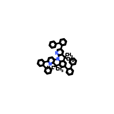 CC1(C)c2cc(-c3ccccc3-c3ccccc3)cnc2N2c3ccc(-c4ccccc4-c4ccccc4)nc3C(C)(C)c3cc(-c4ccccc4-c4ccccc4)cc1c32